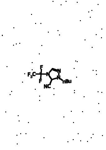 CCCCN1N=CN(C(F)(F)C(F)(F)F)C1C#N